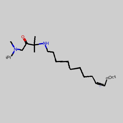 CCCCCCCC/C=C\CCCCCCCCNC(C)(C)C(=O)CN(C)C(C)C